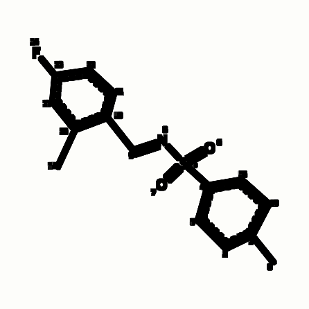 Cc1ccc(S(=O)(=O)/N=C/c2ccc(F)cc2C)cc1